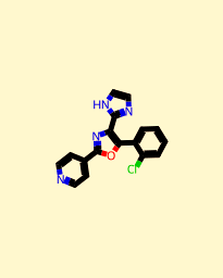 Clc1ccccc1-c1oc(-c2ccncc2)nc1-c1ncc[nH]1